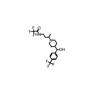 CC(CCNC(=O)C(F)(F)F)N1CCC(C(O)c2ccc(C(F)(F)F)cc2)CC1